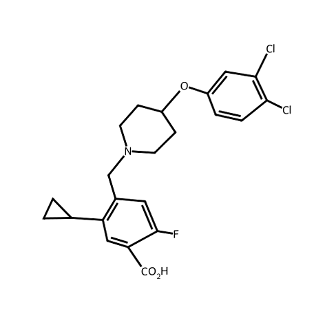 O=C(O)c1cc(C2CC2)c(CN2CCC(Oc3ccc(Cl)c(Cl)c3)CC2)cc1F